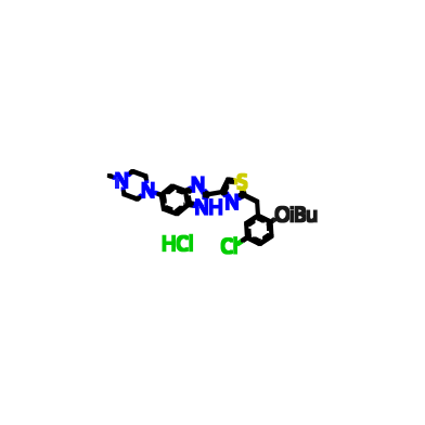 CC(C)COc1ccc(Cl)cc1Cc1nc(-c2nc3cc(N4CCN(C)CC4)ccc3[nH]2)cs1.Cl